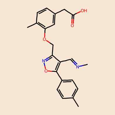 C/N=C/c1c(COc2cc(CC(=O)O)ccc2C)noc1-c1ccc(C)cc1